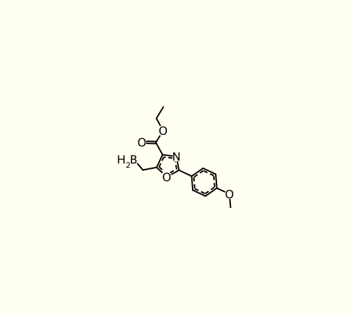 BCc1oc(-c2ccc(OC)cc2)nc1C(=O)OCC